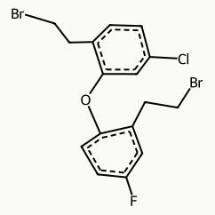 Fc1ccc(Oc2cc(Cl)ccc2CCBr)c(CCBr)c1